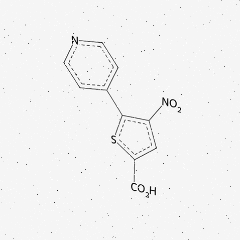 O=C(O)c1cc([N+](=O)[O-])c(-c2ccncc2)s1